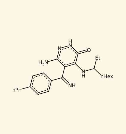 CCCCCCC(CC)Nc1c(C(=N)c2ccc(CCC)cc2)c(N)n[nH]c1=O